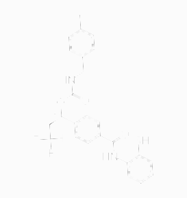 Cc1ccc(CNC(=O)O[C@H](CC(F)(F)F)c2ccc(C(=O)Nc3ccccc3S)cc2)cc1